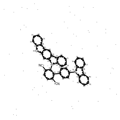 N#Cc1ccc(C#N)c(-n2c3ccccc3c3cc4c(cc32)oc2ccccc24)c1-c1ccc(-n2c3ccccc3c3ccccc32)cc1